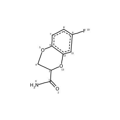 NC(=O)C1COc2[c]cc(F)cc2O1